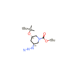 CC(C)(C)OC(=O)N1C[C@@H](N=[N+]=[N-])C[C@H](O[Si](C)(C)C(C)(C)C)C1